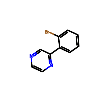 Brc1ccccc1-c1cnccn1